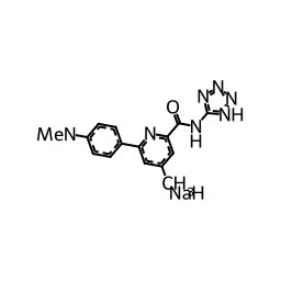 CNc1ccc(-c2cc(C)cc(C(=O)Nc3nnn[nH]3)n2)cc1.[NaH]